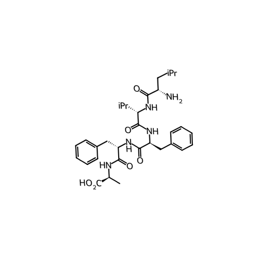 CC(C)C[C@H](N)C(=O)N[C@H](C(=O)N[C@@H](Cc1ccccc1)C(=O)N[C@@H](Cc1ccccc1)C(=O)N[C@@H](C)C(=O)O)C(C)C